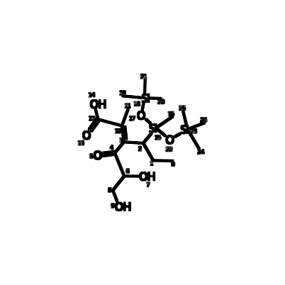 CCC(/C(C(=O)C(O)CO)=C(\C)C(=O)O)[Si](C)(O[Si](C)(C)C)O[Si](C)(C)C